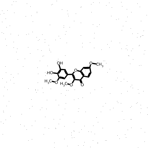 COc1ccc2c(=O)c(OC)c(-c3cc(O)c(O)c(OC)c3)oc2c1